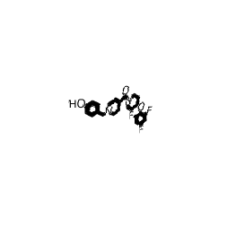 O=C(C1CCN(Cc2ccc(O)cc2)CC1)N1CCC(Oc2c(F)cc(F)cc2F)CC1